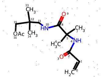 C=CC(=O)NC(C)(C)C(=O)NCC(C)(C)COC(C)=O